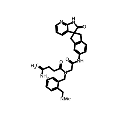 C=C(N)CCC(=O)N(CC(=O)Nc1ccc2c(c1)CC1(C2)C(=O)Nc2ncccc21)Cc1ccccc1CNC